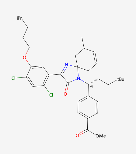 COC(=O)c1ccc([C@@H](CCC(C)(C)C)N2C(=O)C(c3cc(OCCCC(C)C)c(Cl)cc3Cl)=NC23CC=CC(C)C3)cc1